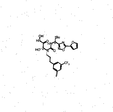 CC(C)(C)[C@H](NC(=O)[C@H](CCCc1cc(F)cc(C(F)(F)F)c1)[C@H](O)C(=O)NO)c1noc(-c2ccco2)n1